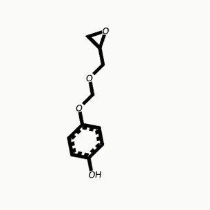 Oc1ccc(OCOCC2CO2)cc1